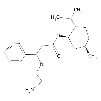 CC(C)[C@@H]1CC[C@@H](C)C[C@H]1OC(=O)CC(NCCN)c1ccccc1